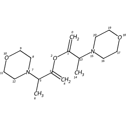 C=C(OC(=C)C(C)N1CCOCC1)C(C)N1CCOCC1